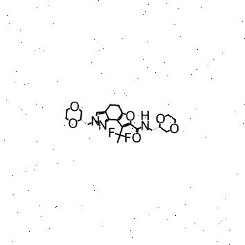 CC(F)(F)c1c(C(=O)NC[C@H]2COCCO2)oc2c1-c1nn(C[C@H]3COCCO3)cc1CC2